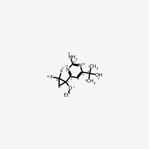 CCOC1(c2cc(C(C)(C)O)nc(N)n2)CC1(F)F